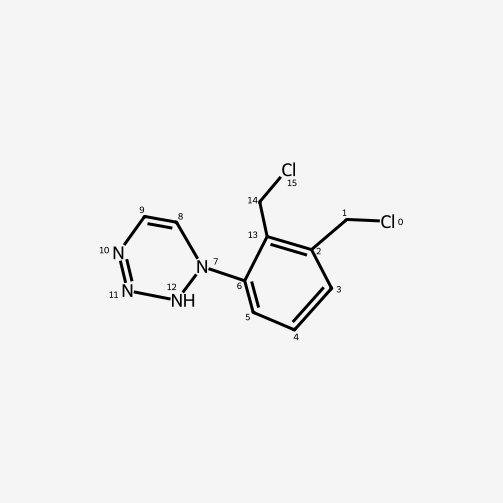 ClCc1cccc(N2C=CN=NN2)c1CCl